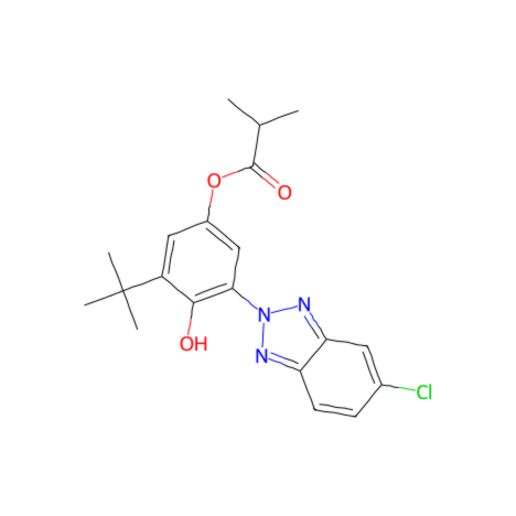 CC(C)C(=O)Oc1cc(-n2nc3ccc(Cl)cc3n2)c(O)c(C(C)(C)C)c1